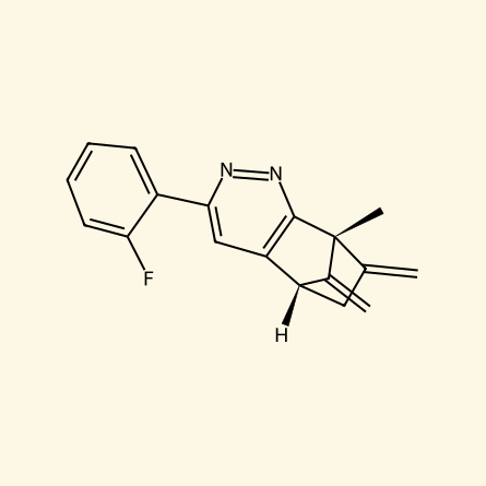 C=C1C[C@H]2C(=C)[C@]1(C)c1nnc(-c3ccccc3F)cc12